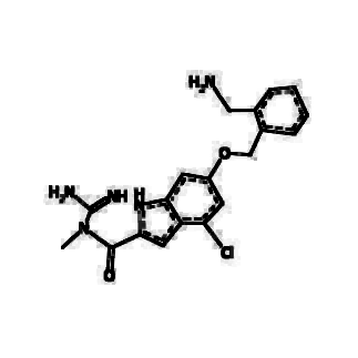 CN(C(=N)N)C(=O)c1cc2c(Cl)cc(OCc3ccccc3CN)cc2[nH]1